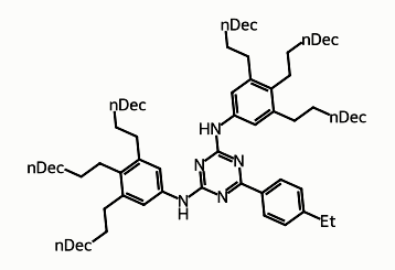 CCCCCCCCCCCCc1cc(Nc2nc(Nc3cc(CCCCCCCCCCCC)c(CCCCCCCCCCCC)c(CCCCCCCCCCCC)c3)nc(-c3ccc(CC)cc3)n2)cc(CCCCCCCCCCCC)c1CCCCCCCCCCCC